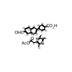 CC(=O)OC(=O)Cc1nc(C)c(C)nc1C.O=Cc1ccc2cc(-c3ccc(C(=O)O)cc3)cnc2c1